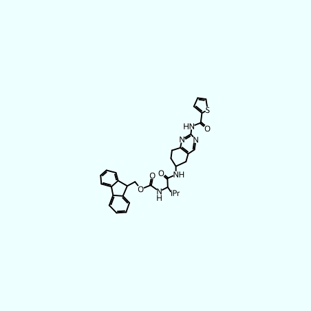 CC(C)C(NC(=O)OCC1c2ccccc2-c2ccccc21)C(=O)NC1CCc2nc(NC(=O)c3cccs3)ncc2C1